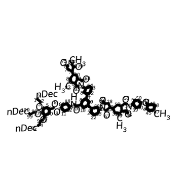 CCCCCCCCCCCCOc1cc(C(=O)Oc2ccc(NC(=O)c3cc(-c4cccc(N5C(=O)CC(C6C=C(C)C7C(=O)N(c8ccc(Oc9ccc(C)cc9)cc8)C(=O)C7C6)C5=O)c4)cc(-c4cccc(N5C(=O)C6CC(C7CC(=O)N(C)C7=O)C=C(C)C6C5=O)c4)c3)cc2)cc(OCCCCCCCCCCCC)c1OCCCCCCCCCCCC